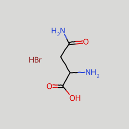 Br.NC(=O)CC(N)C(=O)O